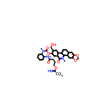 CN(C(=O)Oc1cc2c(=O)n(C)c3c4cc5c(cc4ccc3c2cc1CO)OCO5)c1ccccc1NC(=O)CCCOC(=N)C(Cl)(Cl)Cl